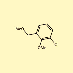 COCc1cccc(Cl)c1OC